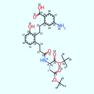 CC(C)(C)OC(=O)C[C@H](NC(=O)CCc1cccc(O)c1CCc1cc(N)ccc1C(=O)O)C(=O)OC(C)(C)C